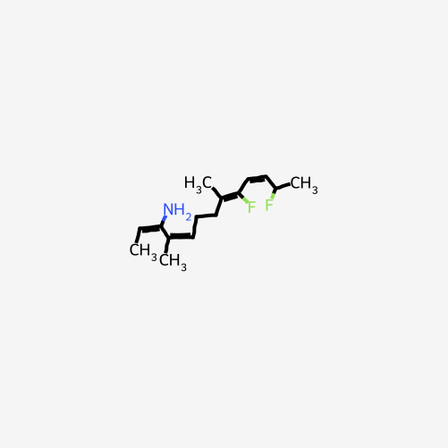 C/C=C(N)\C(C)=C/CC/C(C)=C(F)/C=C\C(C)F